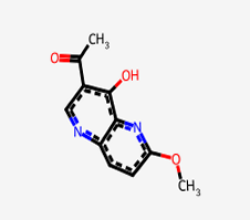 COc1ccc2ncc(C(C)=O)c(O)c2n1